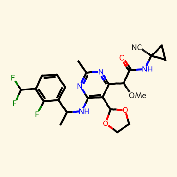 COC(C(=O)NC1(C#N)CC1)c1nc(C)nc(NC(C)c2cccc(C(F)F)c2F)c1C1OCCO1